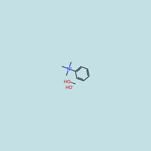 CO.C[N+](C)(C)c1ccccc1.[OH-]